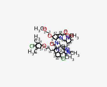 COCCOc1cc(N2C[C@@H](C)n3c(c(CCCOc4cc(C)c(Cl)c(C)c4)c4ccc(Cl)c(-c5c(C)nn(C)c5C)c43)C2=O)c2c(c1)cc(C(=O)O)n2Cc1cccc(C)n1